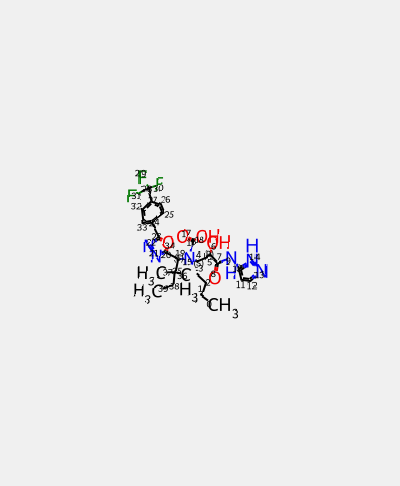 CCCC[C@@H]([C@@H](O)C(=O)Nc1ccn[nH]1)N(C(=O)O)[C@H](c1nnc(-c2ccc(C(F)(F)F)cc2)o1)C(C)(C)CC